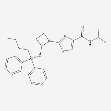 CCCC[Si](OC1CCN1c1nc(C(=O)NC(C)C)cs1)(c1ccccc1)c1ccccc1